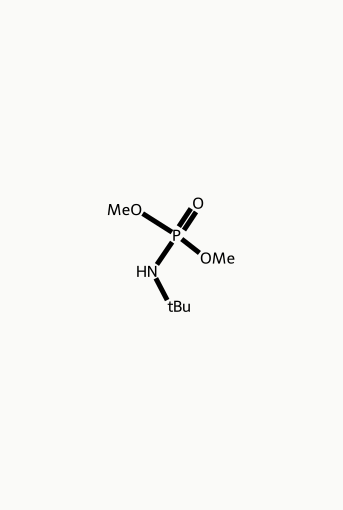 COP(=O)(NC(C)(C)C)OC